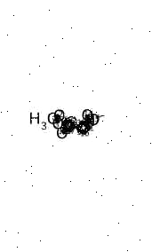 CC(=O)Oc1coc(-c2cccc([N+](=O)[O-])c2)cc1=O